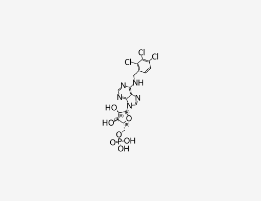 O=P(O)(O)OC[C@H]1O[C@@H](n2cnc3c(NCc4ccc(Cl)c(Cl)c4Cl)ncnc32)[C@H](O)[C@@H]1O